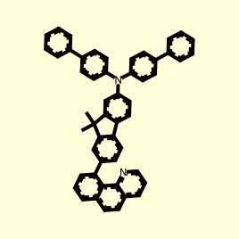 CC1(C)c2cc(-c3cccc4ccc5cccnc5c34)ccc2-c2ccc(N(c3ccc(-c4ccccc4)cc3)c3ccc(-c4ccccc4)cc3)cc21